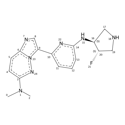 CN(C)c1ccc2ncc(-c3cccc(N[C@H]4CNC[C@@H]4F)n3)n2n1